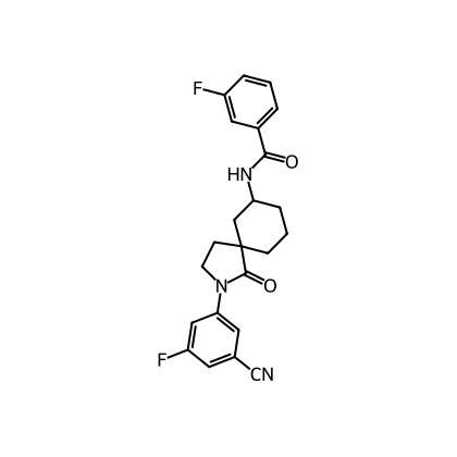 N#Cc1cc(F)cc(N2CCC3(CCCC(NC(=O)c4cccc(F)c4)C3)C2=O)c1